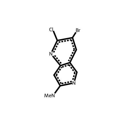 CNc1cc2nc(Cl)c(Br)cc2cn1